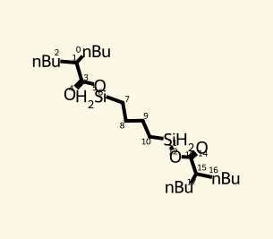 CCCCC(CCCC)C(=O)O[SiH2]CCCC[SiH2]OC(=O)C(CCCC)CCCC